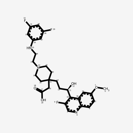 COc1ccc2ncc(F)c([C@H](O)CCC3(CC(=O)O)CCN(CCNc4cc(F)cc(F)c4)CC3)c2c1